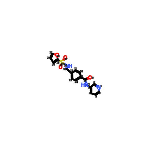 O=C(Nc1cccnc1)c1ccc(CNS(=O)(=O)c2ccco2)cc1